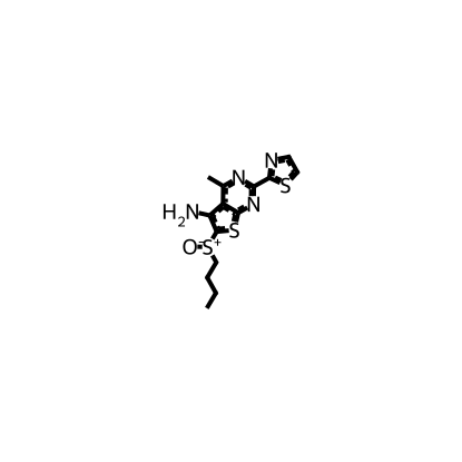 CCCC[S+]([O-])c1sc2nc(-c3nccs3)nc(C)c2c1N